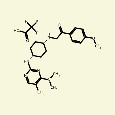 Cc1cnc(N[C@H]2CC[C@@H](NCC(=O)c3ccc(OC(F)(F)F)cc3)CC2)nc1N(C)C.O=C(O)C(F)(F)F